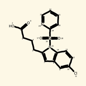 O=C(O)CCCc1cc2cc(Cl)ccc2n1S(=O)(=O)c1ccccn1